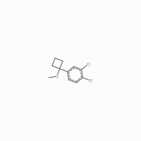 COC1(c2ccc(Cl)c(Cl)c2)CCC1